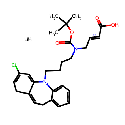 CC(C)(C)OC(=O)N(C/C=C/C(=O)O)CCCCN1C2=CC(Cl)=CCC2=CCc2ccccc21.[LiH]